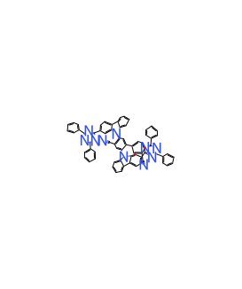 N#Cc1cccc(-c2cc(-n3c4ccccc4c4ccc(-c5nc(-c6ccccc6)nc(-c6ccccc6)n5)cc43)c(C#N)cc2-n2c3ccccc3c3ccc(-c4nc(-c5ccccc5)nc(-c5ccccc5)n4)cc32)c1